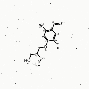 COC(CO)COc1cc(Br)c(C=O)cc1F